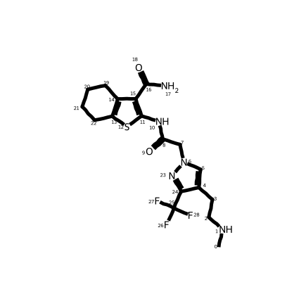 CNCCc1cn(CC(=O)Nc2sc3c(c2C(N)=O)CCCC3)nc1C(F)(F)F